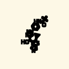 CC(C)(C)C(=O)Nc1ccc(-n2cc(C(O)c3c(C4CC4)sc4cncn34)nn2)cc1